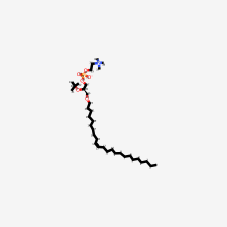 CCCCCCCCCCCCC/C=C\CCCCCCCCCOC[C@H](COP(=O)([O-])OCC[N+](C)(C)C)OC(C)(C)C